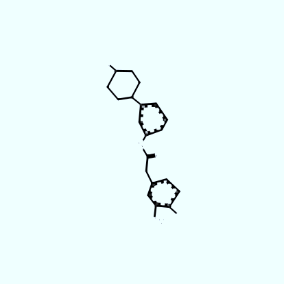 COc1cc(CC(=O)Nc2cccc(C3CCC(C)CC3)c2)ccc1O